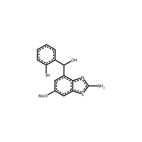 COc1cc(C(O)c2ccccc2C(C)C)c2nc(N)sc2c1